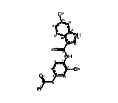 CC(C)C(=O)Cc1ccc(NC(=O)c2c[nH]c3cc(F)ccc23)c(Cl)c1